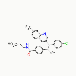 CCCC(c1ccc(C(=O)NCCC(=O)O)cc1)C(c1ccc(Cl)cc1)c1cnc2cc(C(F)(F)F)ccc2c1